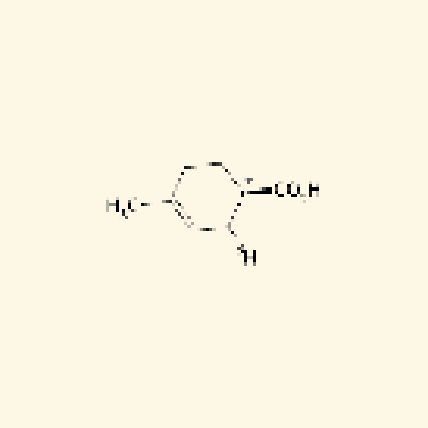 [2H]C1C=C(C)CC[C@H]1C(=O)O